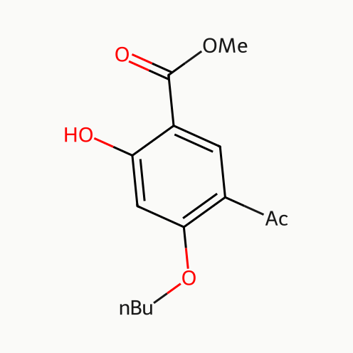 CCCCOc1cc(O)c(C(=O)OC)cc1C(C)=O